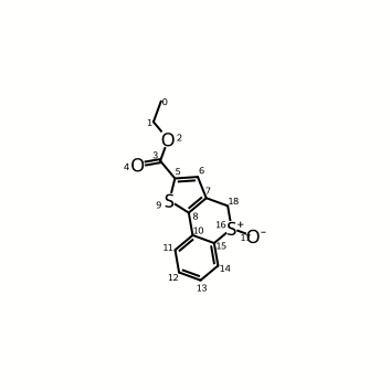 CCOC(=O)c1cc2c(s1)-c1ccccc1[S+]([O-])C2